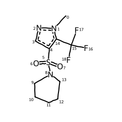 Cn1ncc(S(=O)(=O)N2CCCCC2)c1C(F)(F)F